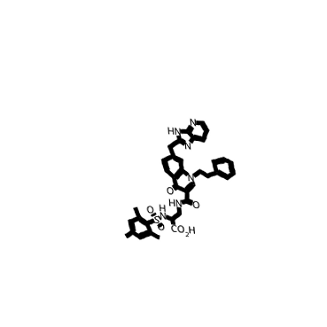 Cc1cc(C)c(S(=O)(=O)NC(CNC(=O)c2cn(CCc3ccccc3)c3cc(Cc4nc5cccnc5[nH]4)ccc3c2=O)C(=O)O)c(C)c1